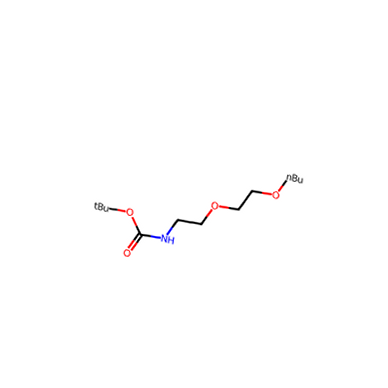 CCCCOCCOCCNC(=O)OC(C)(C)C